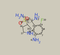 CC(N)(c1cc(N)ccc1F)[C@@]1(S(N)(=O)=O)CCNC1